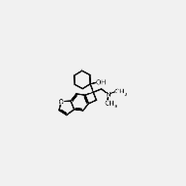 CN(C)CC1(C2(O)CCCCC2)Cc2cc3ccoc3cc21